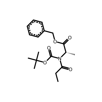 CCC(=O)N(C(=O)OC(C)(C)C)[C@@H](C)C(=O)OCc1ccccc1